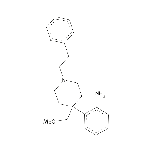 COCC1(c2ccccc2N)CCN(CCc2ccccc2)CC1